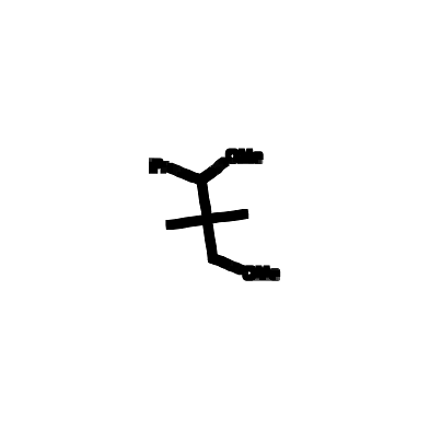 COCC(C)(C)C(OC)C(C)C